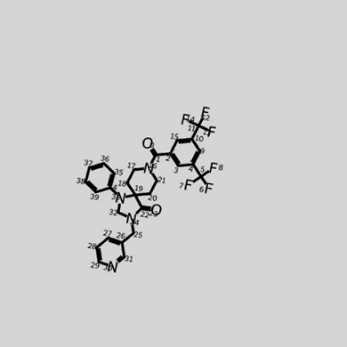 O=C(c1cc(C(F)(F)F)cc(C(F)(F)F)c1)N1CCC2(CC1)C(=O)N(Cc1cccnc1)CN2c1ccccc1